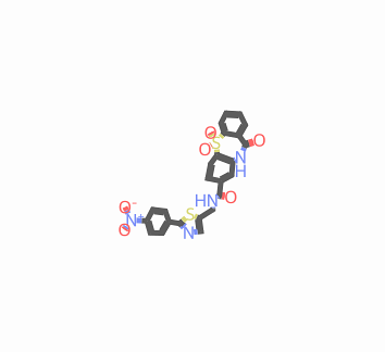 O=C(NCc1cnc(-c2ccc([N+](=O)[O-])cc2)s1)c1ccc2c(c1)NC(=O)c1ccccc1S2(=O)=O